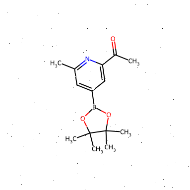 CC(=O)c1cc(B2OC(C)(C)C(C)(C)O2)cc(C)n1